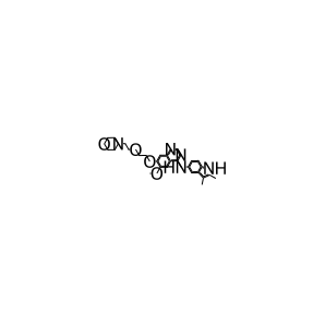 COc1cc2c(Nc3ccc4[nH]c(C)c(C)c4c3)ncnc2cc1OCCOCCN1CCOCC1